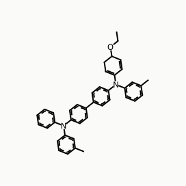 CCOC1C=CC(N(c2ccc(-c3ccc(N(c4ccccc4)c4cccc(C)c4)cc3)cc2)c2cccc(C)c2)=CC1